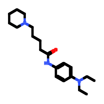 CCN(CC)c1ccc(NC(=O)CCCCN2CCCCC2)cc1